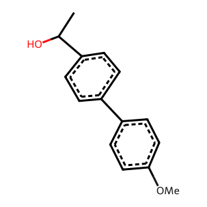 COc1ccc(-c2ccc(C(C)O)cc2)cc1